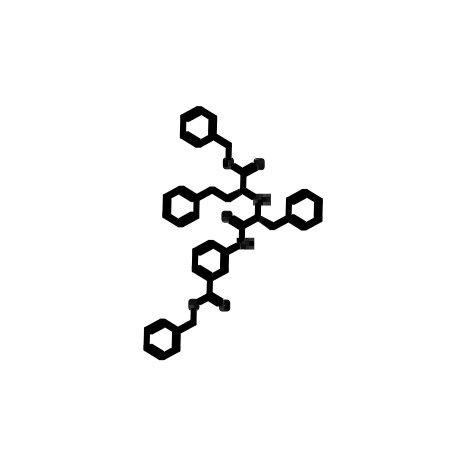 O=C(OCc1ccccc1)c1cccc(NC(=O)[C@H](Cc2ccccc2)N[C@@H](CCc2ccccc2)C(=O)OCc2ccccc2)c1